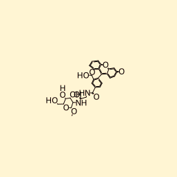 COC1OC(CO)C(O)C(O)C1NC(=O)CNC(=O)c1ccc(-c2c3ccc(=O)cc-3oc3ccccc23)c(C(=O)O)c1